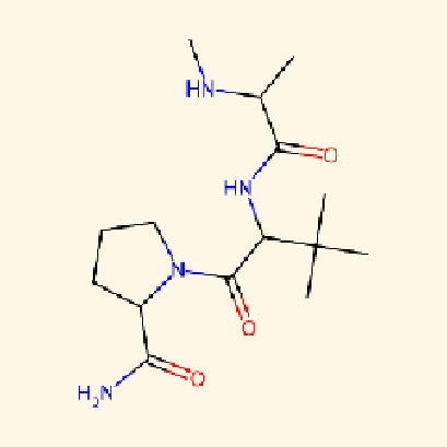 CNC(C)C(=O)NC(C(=O)N1CCCC1C(N)=O)C(C)(C)C